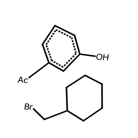 BrCC1CCCCC1.CC(=O)c1cccc(O)c1